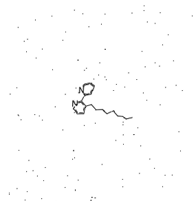 CCCCCCCCCc1cccnc1-c1ccccn1